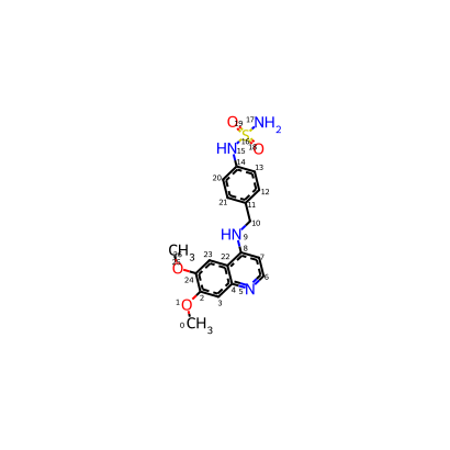 COc1cc2nccc(NCc3ccc(NS(N)(=O)=O)cc3)c2cc1OC